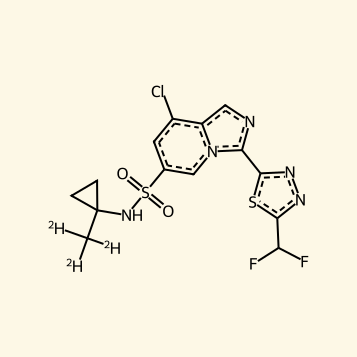 [2H]C([2H])([2H])C1(NS(=O)(=O)c2cc(Cl)c3cnc(-c4nnc(C(F)F)s4)n3c2)CC1